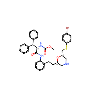 COC(=O)N[C@H](C(=O)Nc1ccccc1CC[C@@H]1CNC[C@@H](CSc2ccc(Br)cc2)O1)C(c1ccccc1)c1ccccc1